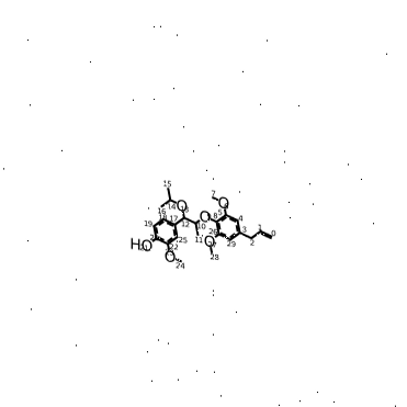 C=CCc1cc(OC)c(OC(C)C(OC(C)C)c2ccc(O)c(OC)c2)c(OC)c1